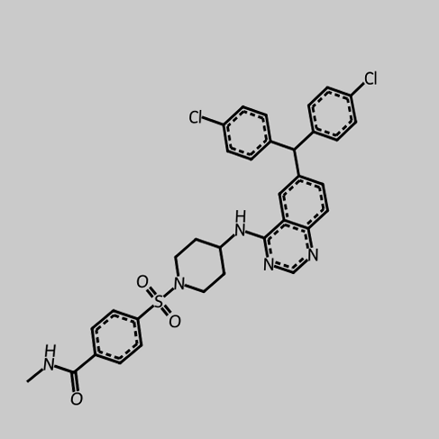 CNC(=O)c1ccc(S(=O)(=O)N2CCC(Nc3ncnc4ccc(C(c5ccc(Cl)cc5)c5ccc(Cl)cc5)cc34)CC2)cc1